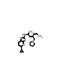 C=C(/C=C(\C=C/C)CN1CCCC1)Nc1nc2ccc(C3CC3)nc2s1